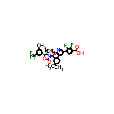 COc1ncc(-c2ccc(C(=O)O)c(F)c2F)cc1C1=C(CN2C(=O)O[C@H](c3cc(C)cc(C(F)(F)F)c3)[C@@H]2C)CC(C)(C)CC1